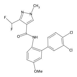 COc1ccc(NC(=O)c2cn(C)nc2C(F)F)c(-c2ccc(Cl)c(Cl)c2)c1